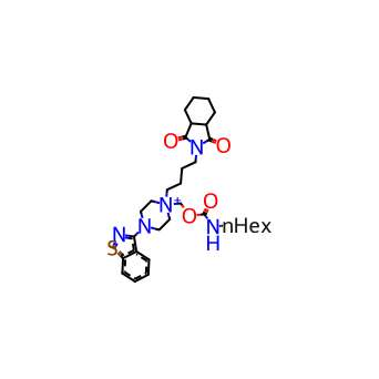 CCCCCCNC(=O)OC[N+]1(CCCCN2C(=O)C3CCCCC3C2=O)CCN(c2nsc3ccccc23)CC1